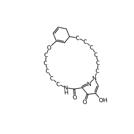 O=C1NCCCCCOC2=CC(CC=C2)CCCCCCn2cc(O)c(=O)c1n2